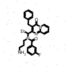 CCC(c1nc2ccccn2c(=O)c1Cc1ccccc1)N(CCCN)C(=O)c1cccc(F)c1